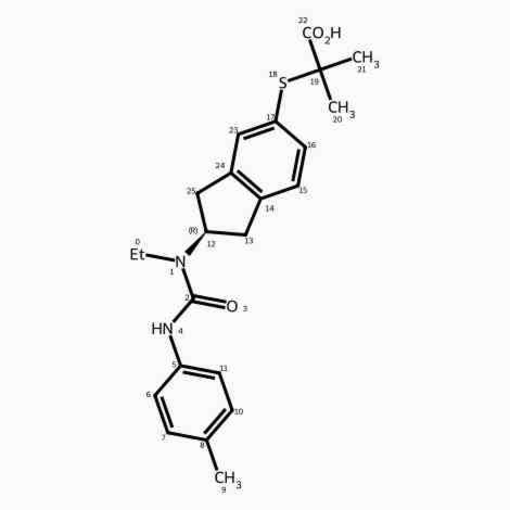 CCN(C(=O)Nc1ccc(C)cc1)[C@@H]1Cc2ccc(SC(C)(C)C(=O)O)cc2C1